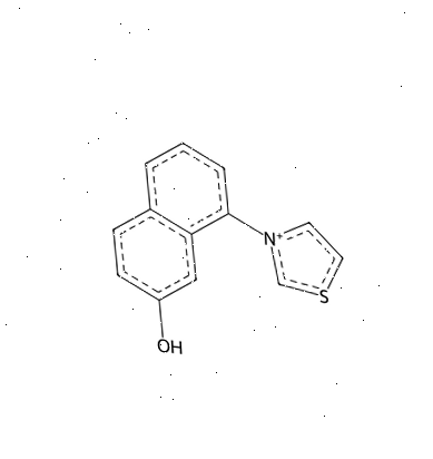 Oc1ccc2cccc(-[n+]3ccsc3)c2c1